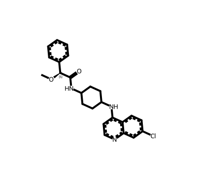 CO[C@H](C(=O)NC1CCC(Nc2ccnc3cc(Cl)ccc23)CC1)c1ccccc1